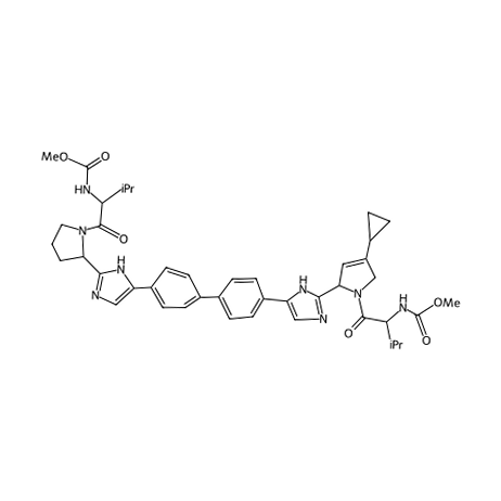 COC(=O)NC(C(=O)N1CC(C2CC2)=CC1c1ncc(-c2ccc(-c3ccc(-c4cnc(C5CCCN5C(=O)C(NC(=O)OC)C(C)C)[nH]4)cc3)cc2)[nH]1)C(C)C